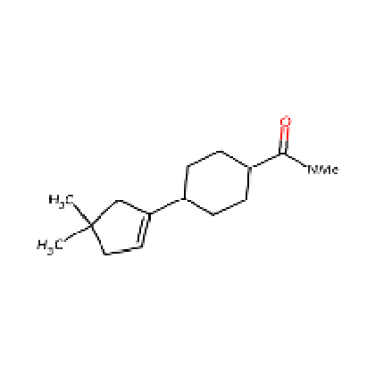 CNC(=O)C1CCC(C2=CCC(C)(C)C2)CC1